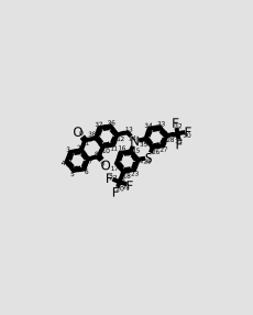 O=C1c2ccccc2C(=O)c2cc(CN3c4ccc(C(F)(F)F)cc4Sc4cc(C(F)(F)F)ccc43)ccc21